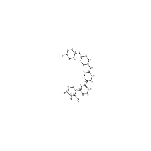 CN1CCC(CC2CCN(CC3CCN(c4cc(C5CCC(=O)NC5=O)ccn4)CC3)CC2)CC1